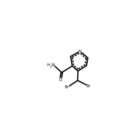 NC(=O)c1cnccc1C(Br)Br